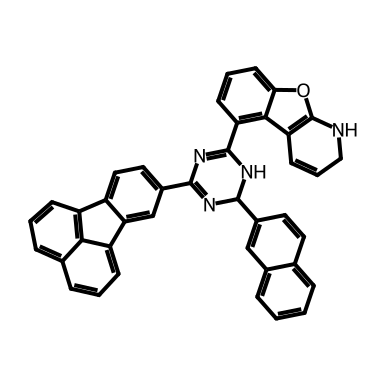 C1=Cc2c(oc3cccc(C4=NC(c5ccc6c(c5)-c5cccc7cccc-6c57)=NC(c5ccc6ccccc6c5)N4)c23)NC1